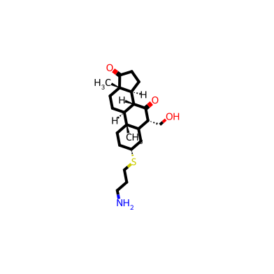 C[C@]12CC[C@@H](SCCCN)CC1[C@@H](CO)C(=O)[C@@H]1[C@@H]2CC[C@]2(C)C(=O)CC[C@@H]12